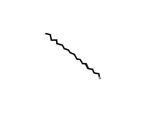 CCCCCCCCCCCCCC=CCCCBr